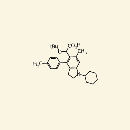 Cc1ccc(-c2c3c(cc(C)c2C(OC(C)(C)C)C(=O)O)N(C2CCCCC2)CC3)cc1